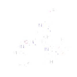 CCOc1ccc2nc(C(F)(F)F)c(O[C@@H]3C[C@H]4C(=O)N[C@]5(C(=O)NS(=O)(=O)C6(C)CC6)C[C@H]5C=CCC[C@@H](C)C[C@@H](C)[C@H](NC(=O)O)C(=O)N4C3)nc2c1